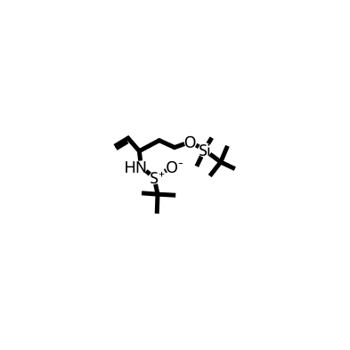 C=CC(CCO[Si](C)(C)C(C)(C)C)N[S+]([O-])C(C)(C)C